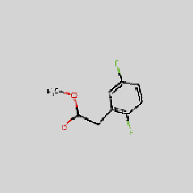 COC([O])Cc1cc(F)ccc1F